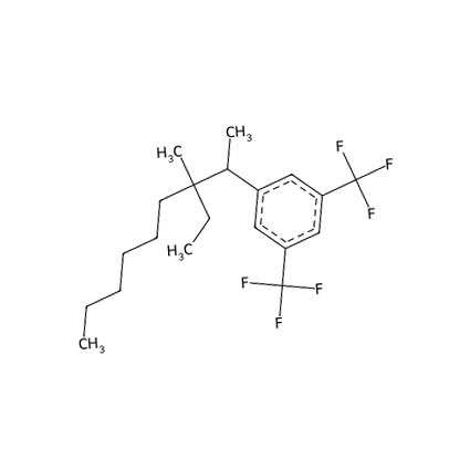 CCCCCCC(C)(CC)C(C)c1cc(C(F)(F)F)cc(C(F)(F)F)c1